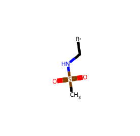 [B]CNS(C)(=O)=O